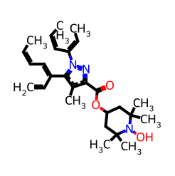 C=C/C(=C\C=C/C)c1c(C)c(C(=O)OC2CC(C)(C)N(O)C(C)(C)C2)nn1C(/C=C\C)=C/C